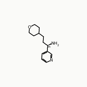 N[C@H](CCC1CCOCC1)c1cccnc1